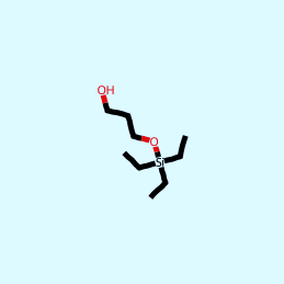 CC[Si](CC)(CC)OCCCO